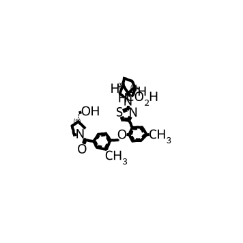 Cc1ccc(OCc2ccc(C(=O)N3CC[C@H](CO)C3)cc2C)c(-c2csc(N3C[C@H]4CC[C@@H](C3)[C@H]4C(=O)O)n2)c1